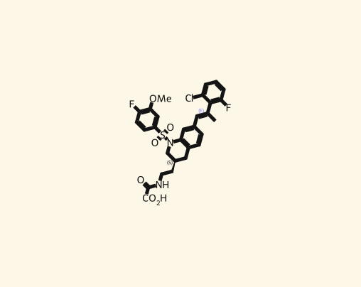 COc1cc(S(=O)(=O)N2C[C@H](CCNC(=O)C(=O)O)Cc3ccc(/C=C(\C)c4c(F)cccc4Cl)cc32)ccc1F